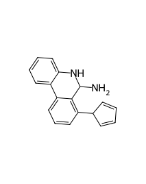 NC1Nc2ccccc2-c2cccc(C3C=CC=C3)c21